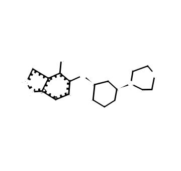 Cc1c(O[C@@H]2CCC[C@H](N3CCOCC3)C2)ccc2[nH]ncc12